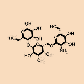 N[C@H]1C(OC[C@H]2O[C@@H](O[C@H]3[C@H](O)[C@@H](O)[C@@H](O)O[C@@H]3CO)[C@H](O)[C@@H](O)[C@H]2O)O[C@H](CO)[C@H](O)[C@@H]1O